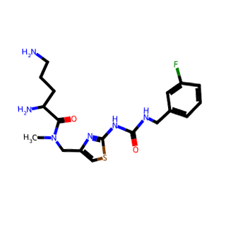 CN(Cc1csc(NC(=O)NCc2cccc(F)c2)n1)C(=O)C(N)CCCN